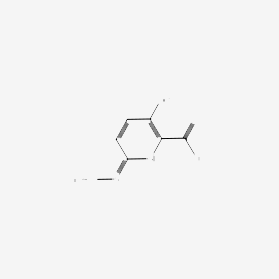 CCCCCN=c1ccc(CCC)c(C(=O)CCC)[nH]1